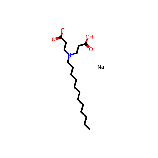 CCCCCCCCCCCCN(CCC(=O)[O-])CCC(=O)O.[Na+]